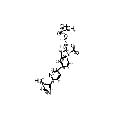 Cn1nncc1-c1ccc(-c2ccc3c(c2)C[C@H]2[C@H](COP(C)(=O)O)OC(=O)N32)cn1